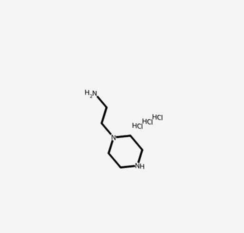 Cl.Cl.Cl.NCCN1CCNCC1